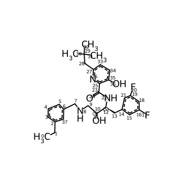 CCc1cccc(CNC[C@H](O)[C@H](Cc2cc(F)cc(F)c2)NC(=O)c2nc(CC(C)(C)C)ccc2O)c1